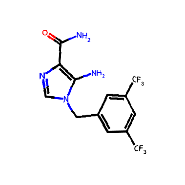 NC(=O)c1ncn(Cc2cc(C(F)(F)F)cc(C(F)(F)F)c2)c1N